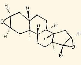 C[C@]12C[C@H]3O[C@H]3C[C@@H]1CC[C@@H]1[C@@H]2CC[C@@]2(C)[C@H]1C[C@H]1O[C@@]12Br